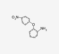 Nc1c[c]ccc1Oc1ccc([N+](=O)[O-])cc1